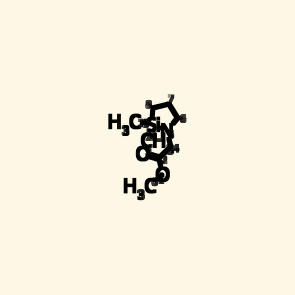 COC(=O)CN1CCC[Si]1(C)C